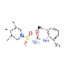 CC(C)c1cccc(C(C)C)c1NC(=O)NS(=O)(=O)N1CC(C)C(C)C(C)C1